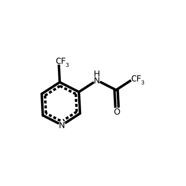 O=C(Nc1cnccc1C(F)(F)F)C(F)(F)F